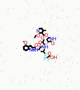 CCOc1nccc(C)c1C(=O)OCC(=O)[C@H](C[C@@H]1CCNC1=O)NC(=O)[C@H](CC(C)C)NC(=O)c1cc2c(OC)cccc2[nH]1.O=C(O)C(F)(F)F